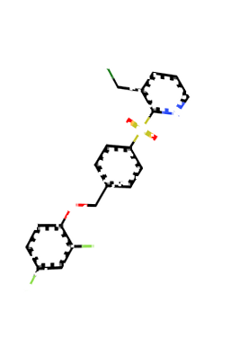 O=S(=O)(c1ccc(COc2ccc(F)cc2F)cc1)c1ncccc1CCl